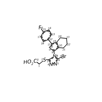 O=C(O)CSc1nnc(Br)n1-c1sc(-c2ccc(F)cc2)c2c1CCCC2